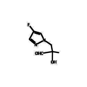 CC(O)(C=O)Cn1cc(F)cn1